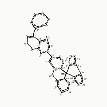 C1=C(c2ccccc2)c2ncc(-c3ccc4c(c3)Oc3ccccc3C43c4ccccc4-c4ccccc43)nc2CC1